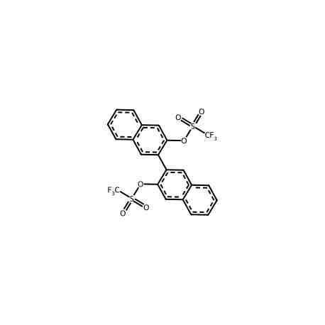 O=S(=O)(Oc1cc2ccccc2cc1-c1cc2ccccc2cc1OS(=O)(=O)C(F)(F)F)C(F)(F)F